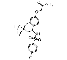 CC1(C)CC(NS(=O)(=O)c2ccc(Cl)cc2)c2ccc(OCC(N)=O)cc2O1